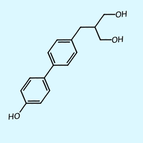 OCC(CO)Cc1ccc(-c2ccc(O)cc2)cc1